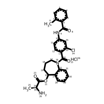 Cc1ccccc1C(=O)Nc1ccc(C(=O)N2CCCC(OC(=O)[C@H](C)N)c3ccccc32)c(Cl)c1.Cl